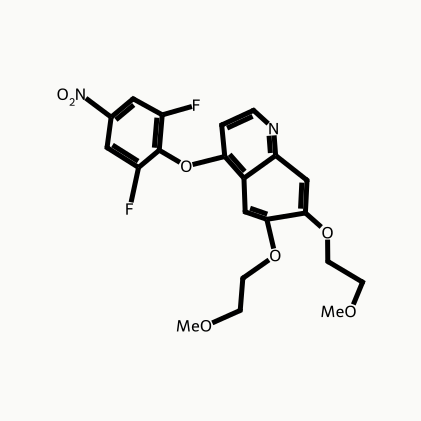 COCCOc1cc2nccc(Oc3c(F)cc([N+](=O)[O-])cc3F)c2cc1OCCOC